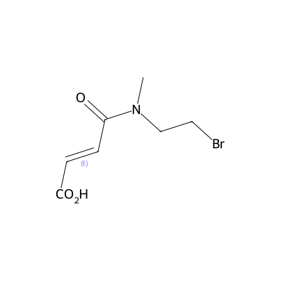 CN(CCBr)C(=O)/C=C/C(=O)O